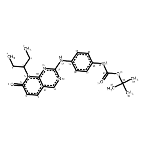 CCC(CC)n1c(=O)ccc2cnc(Nc3ccc(NC(=O)OC(C)(C)C)cc3)nc21